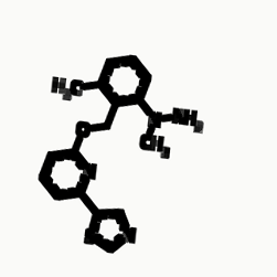 Cc1cccc(N(C)N)c1COc1cccc(-c2cncs2)n1